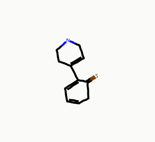 S=C1CC=CC=C1C1=CC[N]CC1